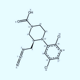 [N-]=[N+]=NC[C@H]1CN(C(=O)O)CCN1c1cc(Cl)nnc1Cl